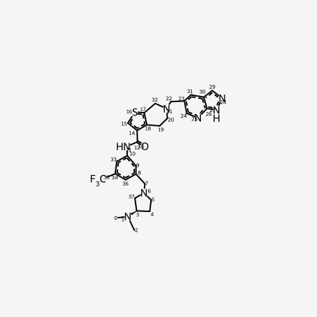 CN(C)[C@@H]1CCN(Cc2cc(NC(=O)c3csc4c3CCN(Cc3cnc5[nH]ncc5c3)C4)cc(C(F)(F)F)c2)C1